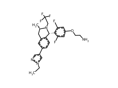 CCn1cc(-c2ccc3c(c2)C[C@@H](C)N(CC(F)(F)F)[C@@H]3c2c(F)cc(OCCN)cc2F)cn1